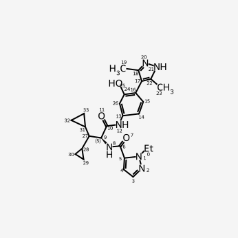 CCn1nccc1C(=O)N[C@H](C(=O)Nc1ccc(-c2c(C)n[nH]c2C)c(O)c1)C(C1CC1)C1CC1